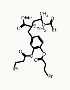 CCC(=O)OC(C)C[C@@](N)(Cc1ccc(OC(=O)CCC(C)C)c(OC(=O)CCC(C)C)c1)C(=O)OC